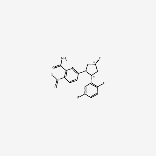 NC(=O)c1nc(N2C[C@@H](F)C[C@@H]2c2cc(F)ccc2F)ccc1[N+](=O)[O-]